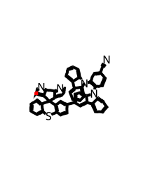 N#Cc1ccc(-n2c3ccccc3c3cc(-c4ccc5c(c4)C4(c6ccccc6S5)c5cccnc5-c5ncccc54)ccc32)c(-n2c3ccccc3c3ccccc32)c1